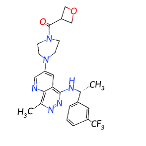 Cc1nnc(N[C@H](C)c2cccc(C(F)(F)F)c2)c2cc(N3CCN(C(=O)C4COC4)CC3)cnc12